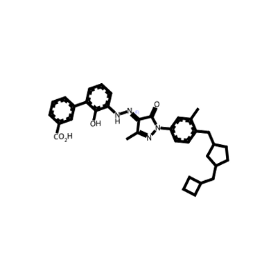 CC1=NN(c2ccc(CC3CCC(CC4CCC4)C3)c(C)c2)C(=O)/C1=N/Nc1cccc(-c2cccc(C(=O)O)c2)c1O